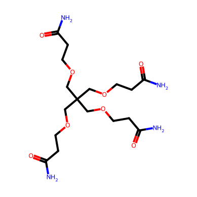 NC(=O)CCOCC(COCCC(N)=O)(COCCC(N)=O)COCCC(N)=O